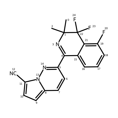 CC1(C)N=C(c2ccc3ccc(C#N)n3n2)c2cccc(F)c2C1(F)F